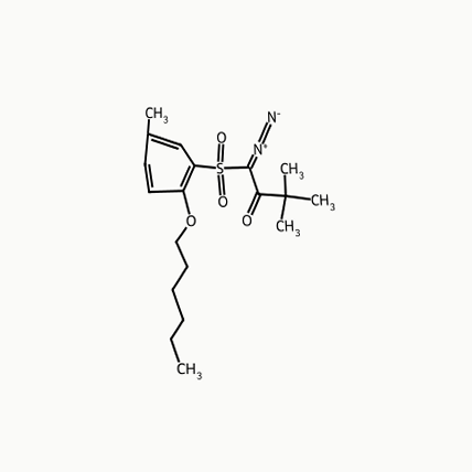 CCCCCCOc1ccc(C)cc1S(=O)(=O)C(=[N+]=[N-])C(=O)C(C)(C)C